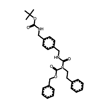 CC(C)(C)OC(=O)NCc1ccc(CNC(=O)N(CCc2ccccc2)C(=O)OCc2ccccc2)cc1